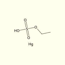 CCOS(=O)(=O)O.[Hg]